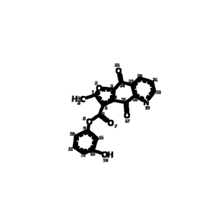 Cc1oc2c(c1C(=O)Oc1cccc(O)c1)C(=O)c1ncccc1C2=O